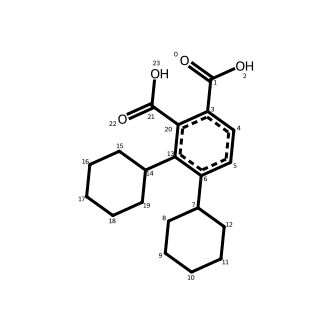 O=C(O)c1ccc(C2CCCCC2)c(C2CCCCC2)c1C(=O)O